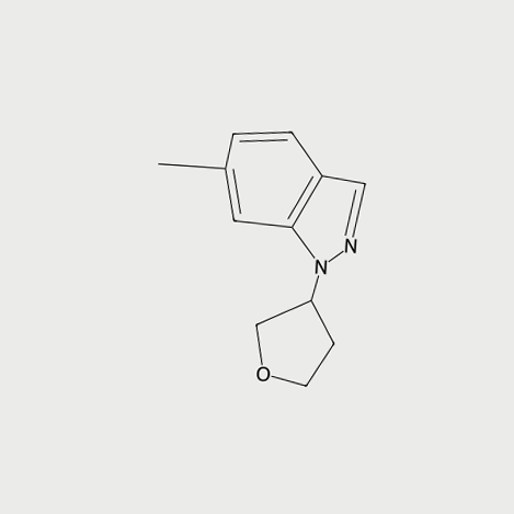 Cc1ccc2cnn(C3CCOC3)c2c1